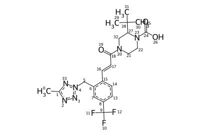 Cc1nnn(Cc2cc(C(F)(F)F)ccc2C=CC(=O)N2CCN(C(=O)O)C(C(C)(C)C)C2)n1